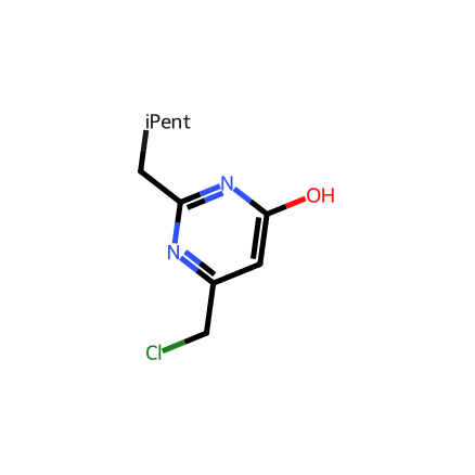 CCCC(C)Cc1nc(O)cc(CCl)n1